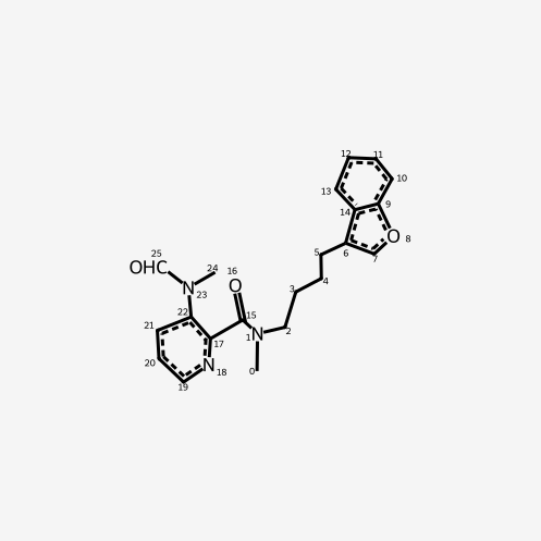 CN(CCCCc1coc2ccccc12)C(=O)c1ncccc1N(C)C=O